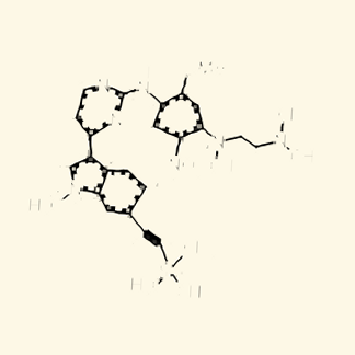 COc1cc(N(C)CCN(C)C)c([N+](=O)[O-])cc1Nc1nccc(-c2cn(C)c3cc(C#C[Si](C)(C)C)ccc23)n1